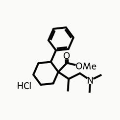 COC(=O)C1(C(C)CN(C)C)CCCCC1c1ccccc1.Cl